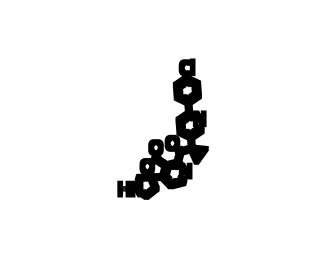 O=C1OC2(CCNC2)c2ccnc(C(=O)C3(c4ccc(-c5ccc(Cl)cc5)nc4)CC3)c21